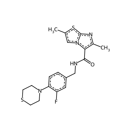 Cc1cn2c(C(=O)NCc3ccc(N4CCSCC4)c(F)c3)c(C)nc2s1